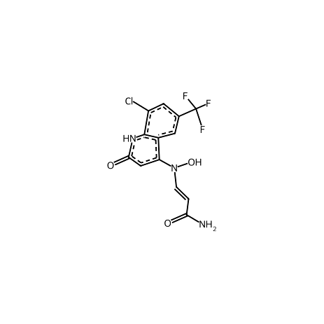 NC(=O)C=CN(O)c1cc(=O)[nH]c2c(Cl)cc(C(F)(F)F)cc12